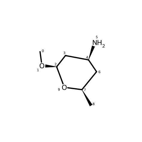 CO[C@H]1C[C@@H](N)C[C@@H](C)O1